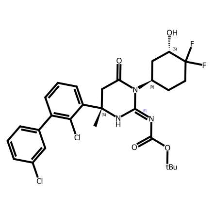 CC(C)(C)OC(=O)/N=C1\N[C@](C)(c2cccc(-c3cccc(Cl)c3)c2Cl)CC(=O)N1[C@@H]1CCC(F)(F)[C@@H](O)C1